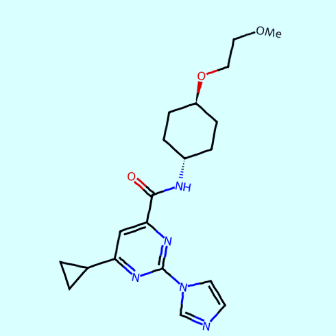 COCCO[C@H]1CC[C@H](NC(=O)c2cc(C3CC3)nc(-n3ccnc3)n2)CC1